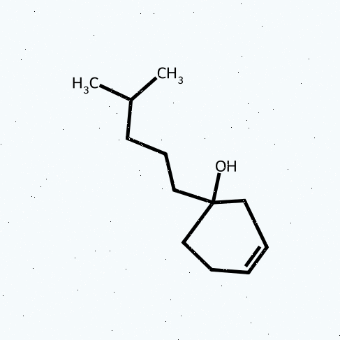 CC(C)CCCC1(O)CC=CCC1